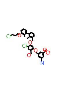 COC(=O)c1cc(C#N)cc(COc2cc(OCc3cccc(-c4cccc(OCCCCl)c4C)c3C)c(Cl)cc2C=O)c1